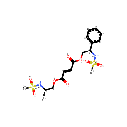 CC[C@H](COC(=O)/C=C/C(=O)OC[C@H](NS(=O)(=O)CC)c1ccccc1)NS(=O)(=O)CC